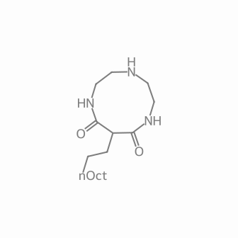 CCCCCCCCCCC1C(=O)NCCNCCNC1=O